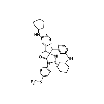 CC(c1ccnc(NC2CCCCC2)c1)C1(C(C)c2ccnc(NC3CCCCC3)c2)NC(=O)N(c2ccc(SC(F)(F)F)cc2)C1=O